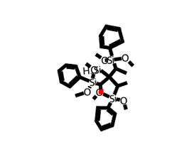 CO[Si](OC)(c1ccccc1)C(C)C([SiH3])(C(C)[Si](OC)(OC)c1ccccc1)C(C)[Si](OC)(OC)c1ccccc1